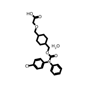 O.O=C(O)COCC1CCC(COC(=O)N(c2ccccc2)c2ccc(Cl)cc2)CC1